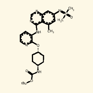 Cc1cc(N=S(C)(C)=O)cc2ncnc(Nc3cccnc3O[C@H]3CC[C@H](NC(=O)OC(C)(C)C)CC3)c12